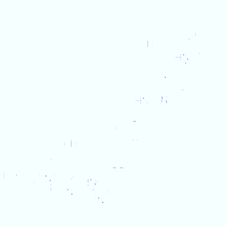 CC[C@H]1CC[C@@H](c2nc3ccc4cc5c(cc4c3[nH]2)OCc2cc(-c3cnc([C@@H]4CCCN4C(=O)[C@@H](NC(=O)OC)[C@@H](C)CC)[nH]3)ccc2-5)N1C(=O)[C@@H](NC(=O)OC)C1CCOCC1